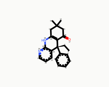 CC[C@]1(c2ccccc2)C2=C(CC(C)(C)CC2=O)Nc2ncccc21